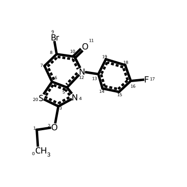 CCOc1nc2c(cc(Br)c(=O)n2-c2ccc(F)cc2)s1